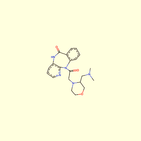 CN(C)CC1COCCN1CC(=O)N1c2ccccc2C(=O)Nc2cccnc21